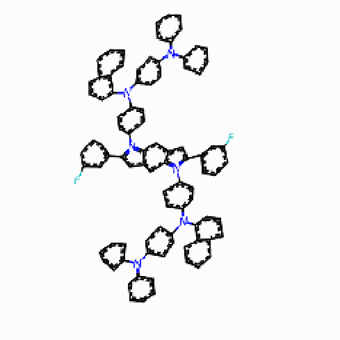 Fc1cccc(-c2cc3cc4c(cc(-c5cccc(F)c5)n4-c4ccc(N(c5ccc(N(c6ccccc6)c6ccccc6)cc5)c5cccc6ccccc56)cc4)cc3n2-c2ccc(N(c3ccc(N(c4ccccc4)c4ccccc4)cc3)c3cccc4ccccc34)cc2)c1